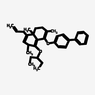 C=CCC1=CC(C)C(OC(CC)CC)=C2C(Oc3ccc(-c4ccccc4)cc3)=C(C)CCC12C